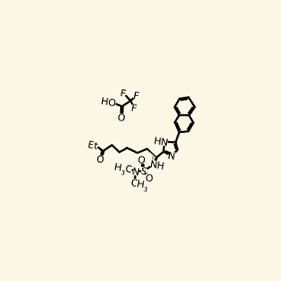 CCC(=O)CCCCC[C@H](NS(=O)(=O)N(C)C)c1ncc(-c2ccc3ccccc3c2)[nH]1.O=C(O)C(F)(F)F